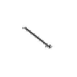 CCC(C)C(=O)NCCOCCOCCOCCOCCOCCOCCOCCOCCOCCOCCO